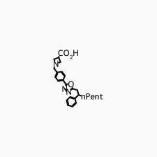 CCCCCC(Cc1nnc(-c2ccc(CN3CC(C(=O)O)C3)cc2)o1)c1ccccc1